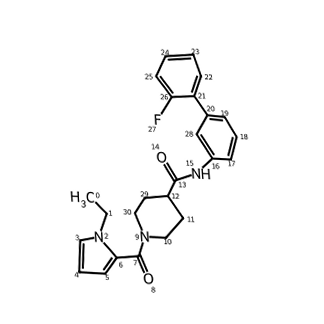 CCn1cccc1C(=O)N1CCC(C(=O)Nc2cccc(-c3ccccc3F)c2)CC1